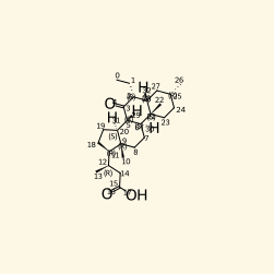 CC[C@H]1C(=O)[C@@H]2[C@H](CC[C@]3(C)[C@@H]([C@H](C)CC(=O)O)CC[C@@H]23)[C@@]2(C)CC[C@@H](C)C[C@@H]12